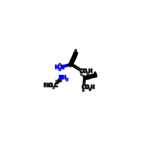 C=C(N)C(=O)O.C=CC(=O)O.CCOC(N)=O